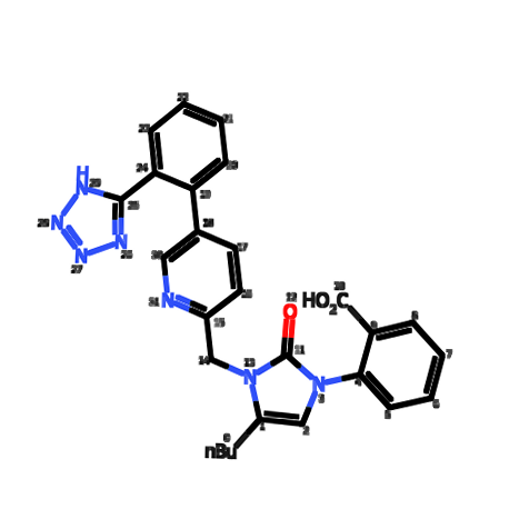 CCCCc1cn(-c2ccccc2C(=O)O)c(=O)n1Cc1ccc(-c2ccccc2-c2nnn[nH]2)cn1